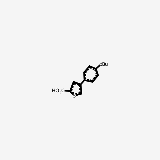 CC(C)(C)c1ccc(-c2csc(C(=O)O)c2)cc1